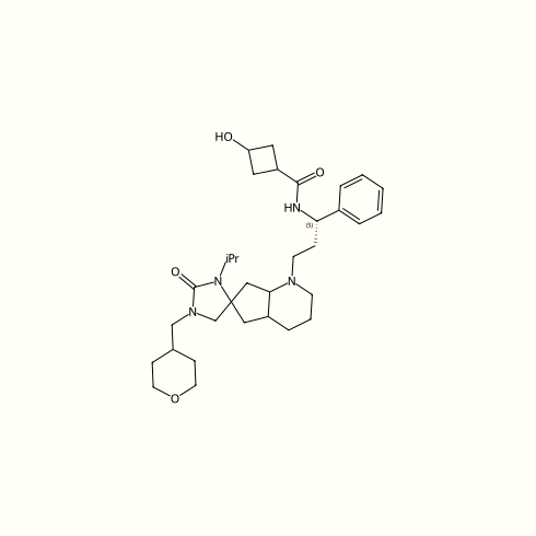 CC(C)N1C(=O)N(CC2CCOCC2)CC12CC1CCCN(CC[C@H](NC(=O)C3CC(O)C3)c3ccccc3)C1C2